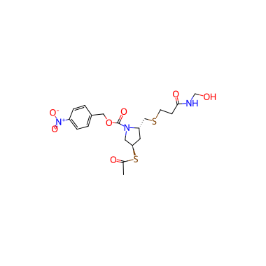 CC(=O)S[C@@H]1C[C@@H](CSCCC(=O)NCO)N(C(=O)OCc2ccc([N+](=O)[O-])cc2)C1